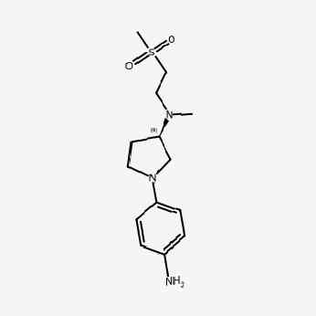 CN(CCS(C)(=O)=O)[C@@H]1CCN(c2ccc(N)cc2)C1